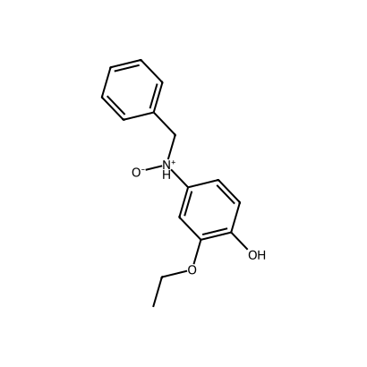 CCOc1cc([NH+]([O-])Cc2ccccc2)ccc1O